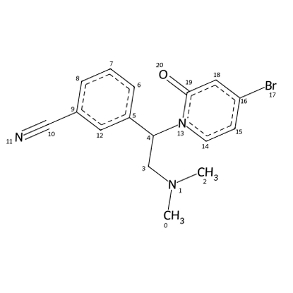 CN(C)CC(c1cccc(C#N)c1)n1ccc(Br)cc1=O